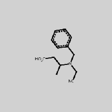 CC(CC(=O)O)N(CC#N)Cc1ccccc1